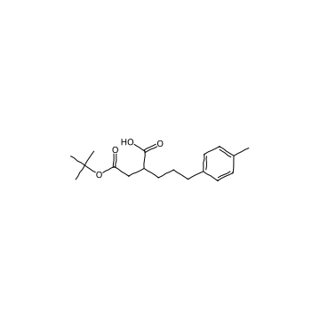 Cc1ccc(CCCC(CC(=O)OC(C)(C)C)C(=O)O)cc1